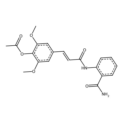 COc1cc(/C=C/C(=O)Nc2ccccc2C(N)=O)cc(OC)c1OC(C)=O